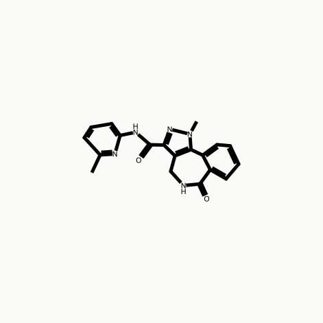 Cc1cccc(NC(=O)c2nn(C)c3c2CNC(=O)c2ccccc2-3)n1